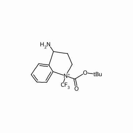 CC(C)(C)OC(=O)[N+]1(C(F)(F)F)CCC(N)c2ccccc21